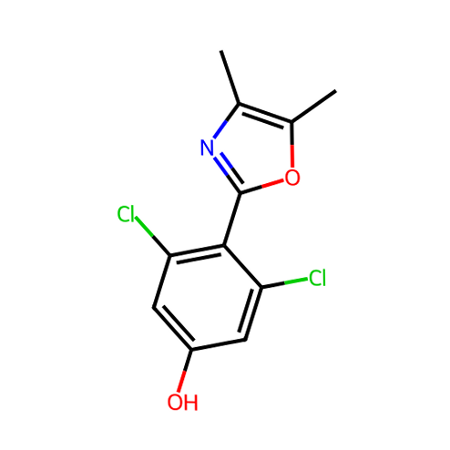 Cc1nc(-c2c(Cl)cc(O)cc2Cl)oc1C